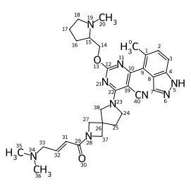 Cc1ccc2[nH]ncc2c1-c1nc(OCC2CCCN2C)nc(N2CCC3(CN(C(=O)/C=C/CN(C)C)C3)C2)c1C#N